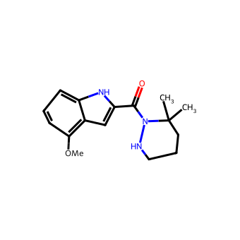 COc1cccc2[nH]c(C(=O)N3NCCCC3(C)C)cc12